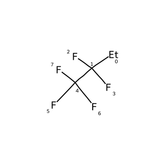 CCC(F)(F)C(F)(F)F